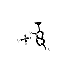 Cc1ccc2c(c1)cc(C1CC1)[s+]2C(F)(F)F.O=S(=O)([O-])C(F)(F)F